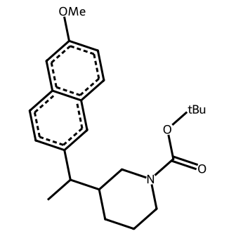 COc1ccc2cc(C(C)C3CCCN(C(=O)OC(C)(C)C)C3)ccc2c1